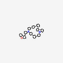 c1ccc(-c2ccc(-c3cccc(N(c4ccc(-c5cccc(-c6cccc(-n7c8ccccc8c8ccccc87)c6)c5)cc4)c4cccc(-c5cccc6oc7ccccc7c56)c4)c3)cc2)cc1